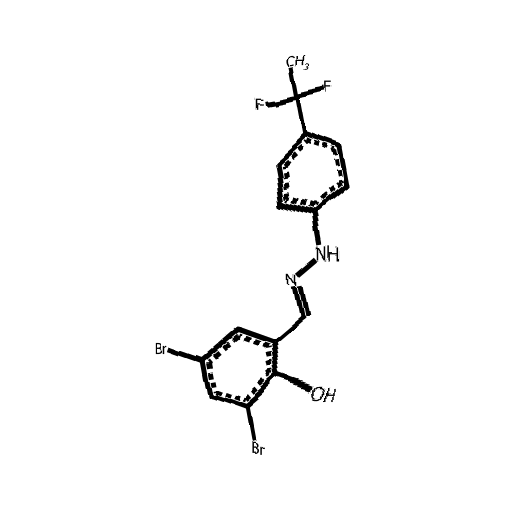 CC(F)(F)c1ccc(N/N=C/c2cc(Br)cc(Br)c2O)cc1